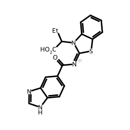 CCC(C(=O)O)n1/c(=N\C(=O)c2ccc3[nH]cnc3c2)sc2ccccc21